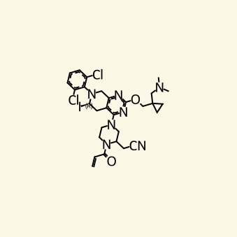 C=CC(=O)N1CCN(c2nc(OCC3(CN(C)C)CC3)nc3c2C[C@@H](I)N(c2c(Cl)cccc2Cl)C3)CC1CC#N